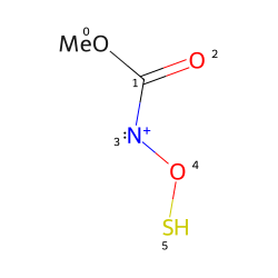 COC(=O)[N+]OS